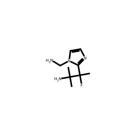 CC(C)(N)C(C)(F)c1nccn1CN